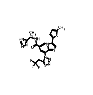 Cc1ccc(-c2cnc3c(-n4nnnc4CC(F)(F)F)cc(C(=O)N[C@@H](C)c4nnc[nH]4)cn23)s1